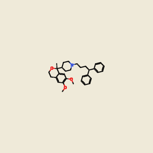 COc1cc2c(cc1OC)C(C)(C1CCN(CCCC(c3ccccc3)c3ccccc3)CC1)OCC2